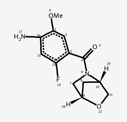 COc1cc(C(=O)N2C[C@@H]3C[C@H]2CO3)c(F)cc1N